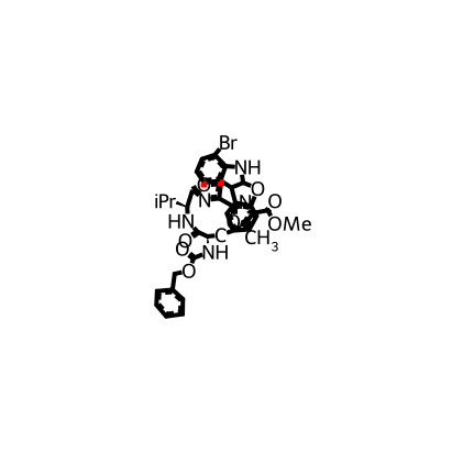 COC(=O)c1nc(-c2nc3oc2[C@]24c5cc(ccc5OC2Nc2c(Br)cccc24)C[C@H](NC(=O)OCc2ccccc2)C(=O)N[C@H]3C(C)C)oc1C